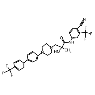 CC(O)(CN1CCN(c2ccc(-c3ccc(C(F)(F)F)cc3)cc2)CC1)C(=O)Nc1ccc(C#N)c(C(F)(F)F)c1